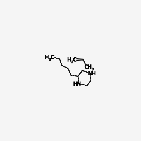 C=CC.CCCCCC1CNCCN1